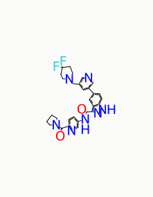 O=C(Nc1ccc(C(=O)N2CCCC2)nc1)c1n[nH]c2ccc(-c3cncc(CN4CCC(F)(F)CC4)c3)cc12